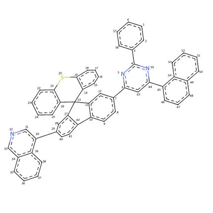 c1ccc(-c2nc(-c3ccc4c(c3)C3(c5ccccc5Sc5ccccc53)c3cc(-c5cncc6ccccc56)ccc3-4)cc(-c3cccc4ccccc34)n2)cc1